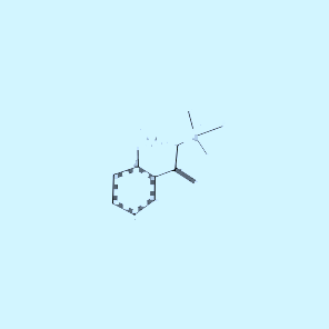 C=C(C[Si](C)(C)C)c1ccccc1OC